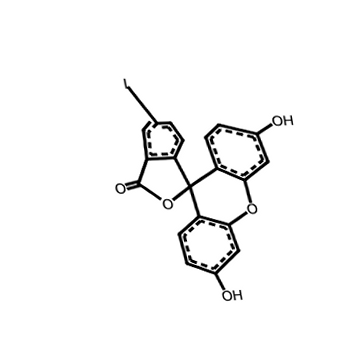 O=C1OC2(c3ccc(O)cc3Oc3cc(O)ccc32)c2ccc(I)cc21